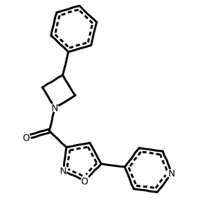 O=C(c1cc(-c2ccncc2)on1)N1CC(c2ccccc2)C1